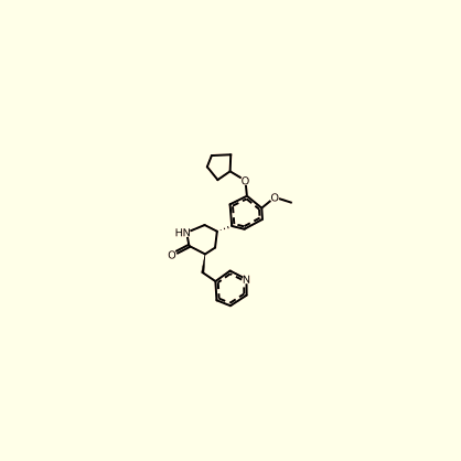 COc1ccc([C@H]2CNC(=O)[C@H](Cc3cccnc3)C2)cc1OC1CCCC1